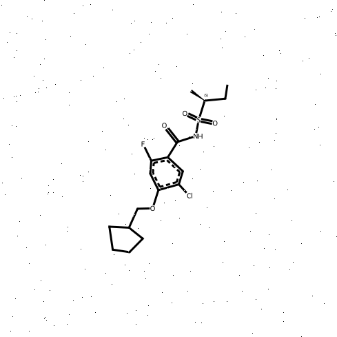 CC[C@H](C)S(=O)(=O)NC(=O)c1cc(Cl)c(OCC2CCCC2)cc1F